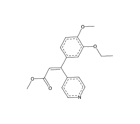 CCOc1cc(C(=CC(=O)OC)c2ccncc2)ccc1OC